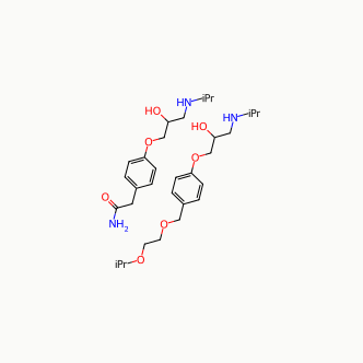 CC(C)NCC(O)COc1ccc(CC(N)=O)cc1.CC(C)NCC(O)COc1ccc(COCCOC(C)C)cc1